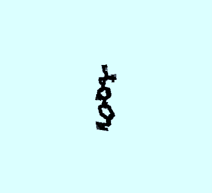 N#CC=C1CCN(c2ccc(OC(F)F)cn2)CC1